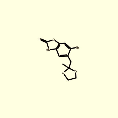 CC1(Cc2cc3[nH]c(=O)oc3cc2Br)OCCO1